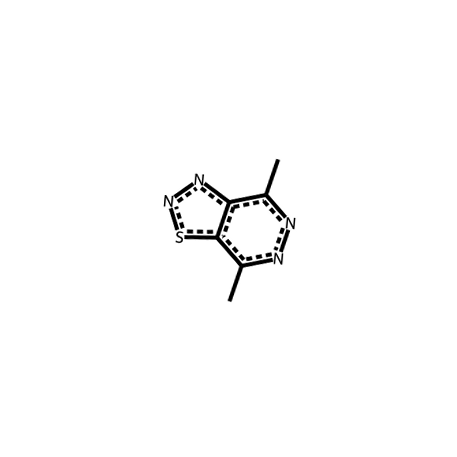 Cc1nnc(C)c2snnc12